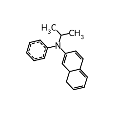 CC(C)N(C1=CC2CC=CC=C2C=C1)c1ccccc1